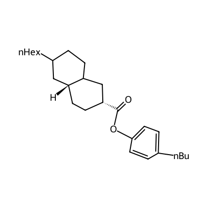 CCCCCCC1CCC2C[C@H](C(=O)Oc3ccc(CCCC)cc3)CC[C@@H]2C1